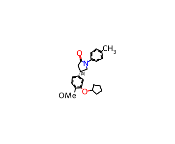 COc1ccc([C@@H]2CC(=O)N(c3ccc(C)cc3)C2)cc1OC1CCCC1